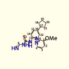 COc1cccnc1.N=CNC(=S)Nc1ccc(C2CCCC2)cn1